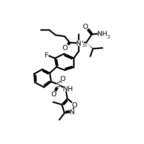 CCCCC(=O)[N+](C)(Cc1ccc(-c2ccccc2S(=O)(=O)Nc2onc(C)c2C)c(F)c1)[C@H](C(N)=O)C(C)C